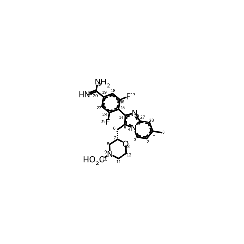 Cc1ccn2c(C[C@H]3CN(C(=O)O)CCO3)c(-c3c(F)cc(C(=N)N)cc3F)nc2c1